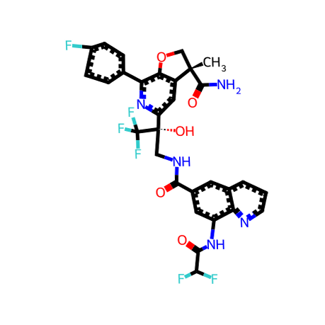 C[C@]1(C(N)=O)COc2c1cc([C@@](O)(CNC(=O)c1cc(NC(=O)C(F)F)c3ncccc3c1)C(F)(F)F)nc2-c1ccc(F)cc1